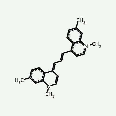 Cc1ccc2c(c1)N(C)C=C/C2=C\C=C\c1cc[n+](C)c2cc(C)ccc12